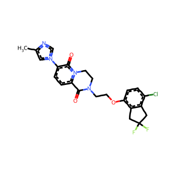 Cc1cn(-c2ccc3n(c2=O)CCN(CCOc2ccc(Cl)c4c2CC(F)(F)C4)C3=O)cn1